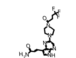 NC(=O)C=Cc1c[nH]c2ncc(N3CCN(C(=O)CCC(F)(F)F)CC3)nc12